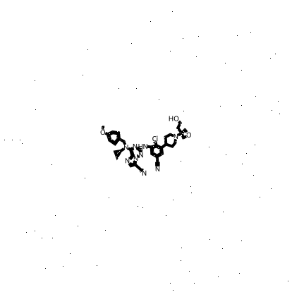 COc1ccc(CN(c2nc(Nc3cc(C#N)cc(C4CCN(C5(CCO)COC5)CC4)c3Cl)nn3c(C#N)cnc23)C2CC2)cc1